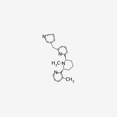 Cc1cccnc1[C@@H]1CCC[C@H](c2cccc(Cc3cccnc3)n2)N1C